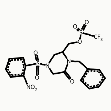 O=C1CN(S(=O)(=O)c2ccccc2[N+](=O)[O-])CC(COS(=O)(=O)C(F)(F)F)N1Cc1ccccc1